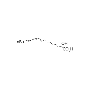 CCCCC#CC#C/C=C/CCCCCCC(O)C(=O)O